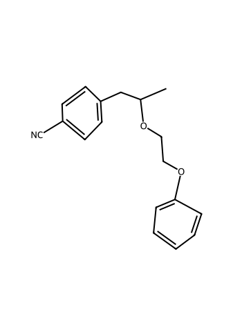 CC(Cc1ccc(C#N)cc1)OCCOc1ccccc1